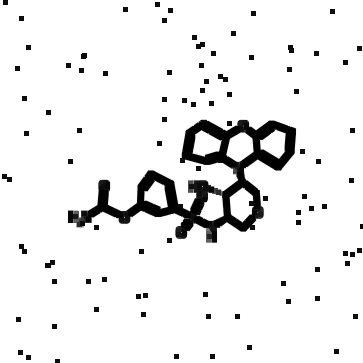 NC(=O)Oc1cccc(S(=O)(=O)N[C@@H]2COC[C@H](N3c4ccccc4Oc4ccccc43)[C@H]2O)c1